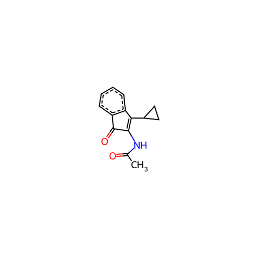 CC(=O)NC1=C(C2CC2)c2ccccc2C1=O